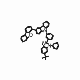 CC(C)(C)c1ccc2nc(-c3cccc(-n4c5ccccc5c5cc(-c6cccc7c6oc6ccccc67)ccc54)c3)n(-c3ccccc3)c2c1